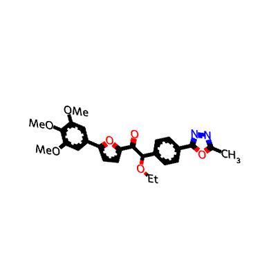 CCOC(C(=O)c1ccc(-c2cc(OC)c(OC)c(OC)c2)o1)c1ccc(-c2nnc(C)o2)cc1